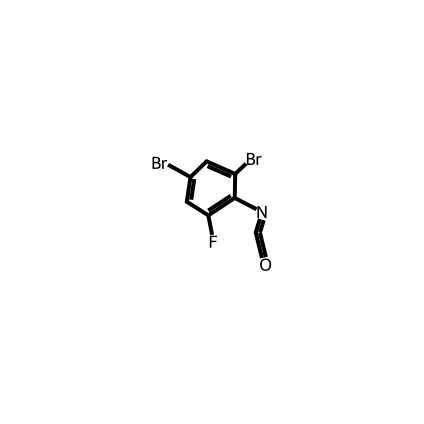 O=C=Nc1c(F)cc(Br)cc1Br